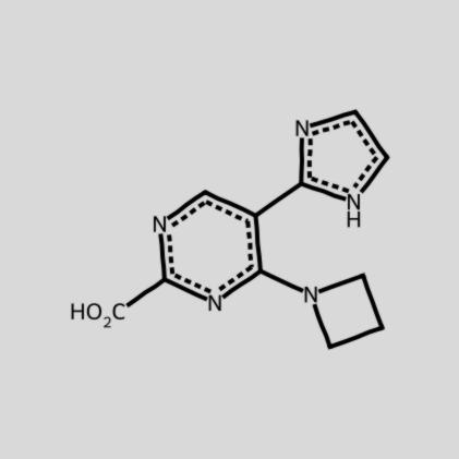 O=C(O)c1ncc(-c2ncc[nH]2)c(N2CCC2)n1